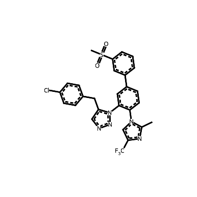 Cc1nc(C(F)(F)F)cn1-c1ccc(-c2cccc(S(C)(=O)=O)c2)cc1-n1nncc1Cc1ccc(Cl)cc1